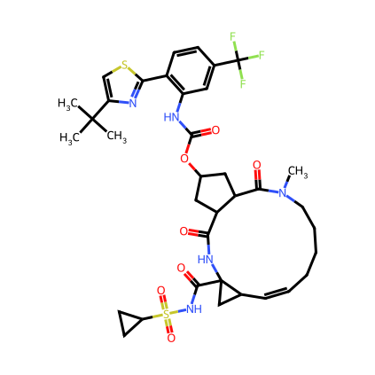 CN1CCCC/C=C\C2CC2(C(=O)NS(=O)(=O)C2CC2)NC(=O)C2CC(OC(=O)Nc3cc(C(F)(F)F)ccc3-c3nc(C(C)(C)C)cs3)CC2C1=O